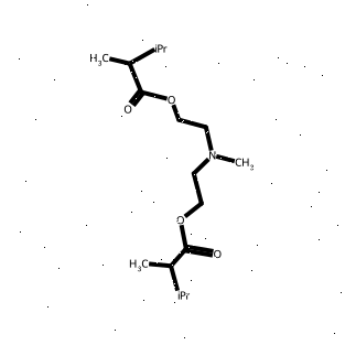 CC(C)C(C)C(=O)OCCN(C)CCOC(=O)C(C)C(C)C